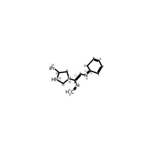 C=N/C(=C\N=C1\C=CC=CC1)N1CNC(C(C)C)C1